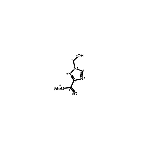 COC(=O)c1ncn(CO)n1